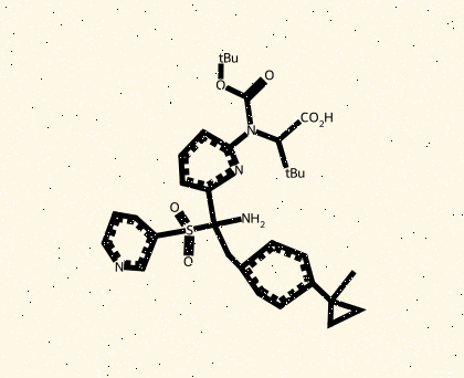 CC(C)(C)OC(=O)N(c1cccc(C(N)(Cc2ccc(C3(C)CC3)cc2)S(=O)(=O)c2cccnc2)n1)C(C(=O)O)C(C)(C)C